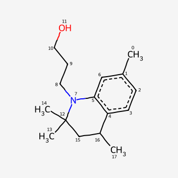 Cc1ccc2c(c1)N(CCCO)C(C)(C)CC2C